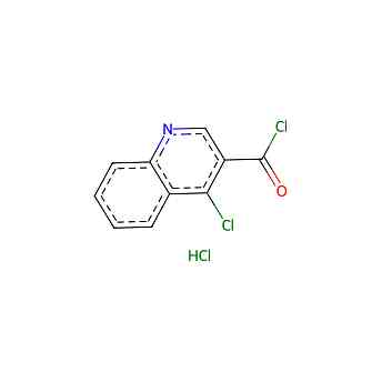 Cl.O=C(Cl)c1cnc2ccccc2c1Cl